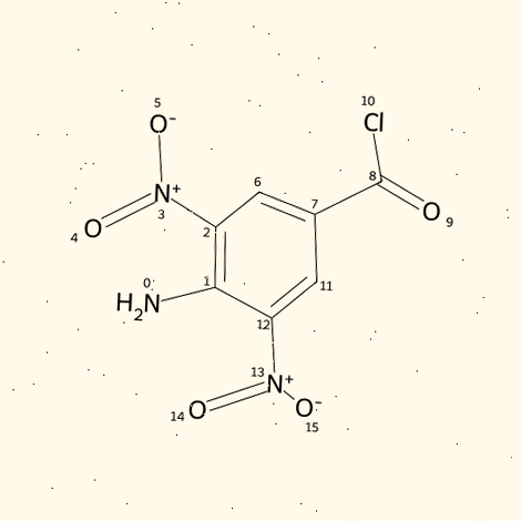 Nc1c([N+](=O)[O-])cc(C(=O)Cl)cc1[N+](=O)[O-]